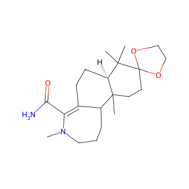 CN1CCCC2C(=C1C(N)=O)CC[C@@H]1C2(C)CCC2(OCCO2)C1(C)C